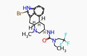 CCN(CC(F)(F)F)C(=O)N[C@H]1C[C@@H]2c3cccc4[nH]c(Br)c(c34)C[C@H]2N(C)C1